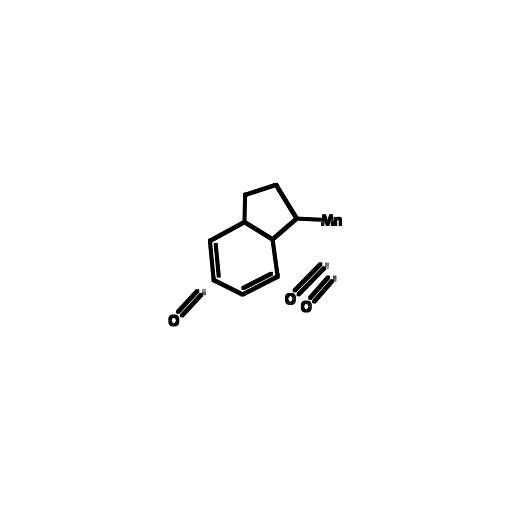 [C]=O.[C]=O.[C]=O.[Mn][CH]1CCC2C=CC=CC12